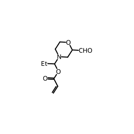 C=CC(=O)OC(CC)N1CCOC(C=O)C1